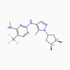 CNc1nc(Nc2cnn(C3C[C@@H](C)[C@@H](C)C3)c2C)ncc1C(F)(F)F